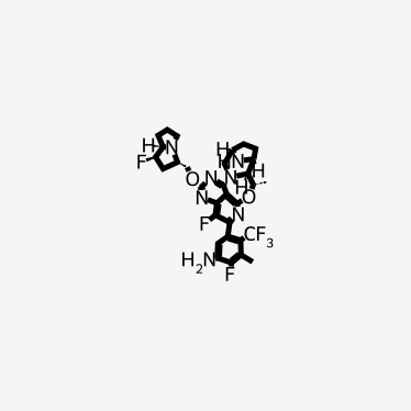 Cc1c(F)c(N)cc(-c2nc3c4c(nc(OC[C@@H]5C[C@@H](F)[C@H]6CCCN56)nc4c2F)N2C[C@H]4CC[C@H](N4)[C@H]2[C@H](C)O3)c1C(F)(F)F